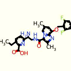 CCc1ccc(C(N)CNC(=O)c2c(C)nc3c(OCc4c(F)cccc4F)cc(C)cn23)nc1C(=O)O